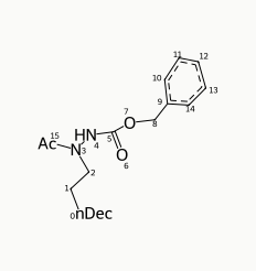 CCCCCCCCCCCCN(NC(=O)OCc1ccccc1)C(C)=O